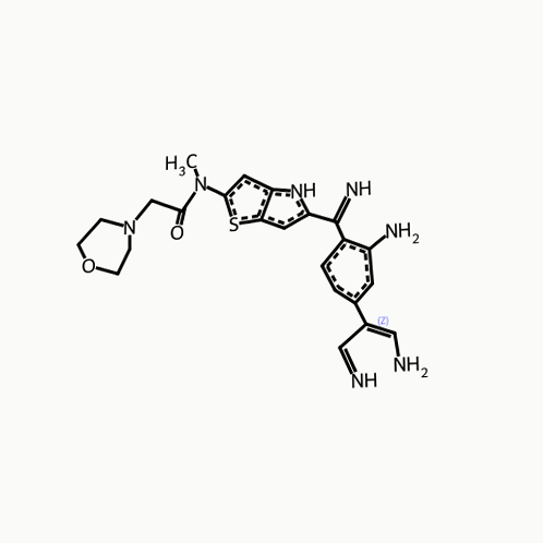 CN(C(=O)CN1CCOCC1)c1cc2[nH]c(C(=N)c3ccc(/C(C=N)=C/N)cc3N)cc2s1